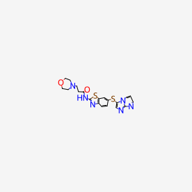 O=C(CCN1CCOCC1)Nc1nc2ccc(Sc3cnc4ncccn34)cc2s1